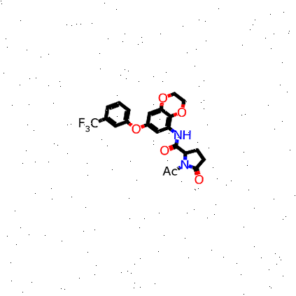 CC(=O)N1C(=O)CCC1C(=O)Nc1cc(Oc2cccc(C(F)(F)F)c2)cc2c1OCCO2